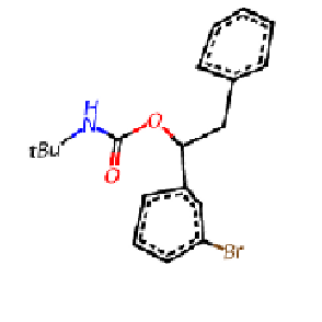 CC(C)(C)NC(=O)OC(Cc1ccccc1)c1cccc(Br)c1